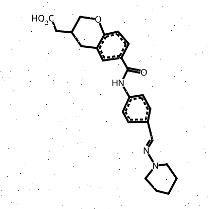 O=C(O)CC1COc2ccc(C(=O)Nc3ccc(C=NN4CCCCC4)cc3)cc2C1